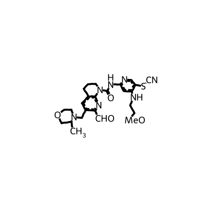 COCCNc1cc(NC(=O)N2CCCc3cc(CN4CCOCC4C)c(C=O)nc32)ncc1SC#N